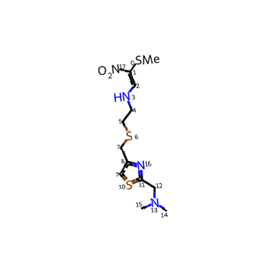 CSC(=CNCCSCc1csc(CN(C)C)n1)[N+](=O)[O-]